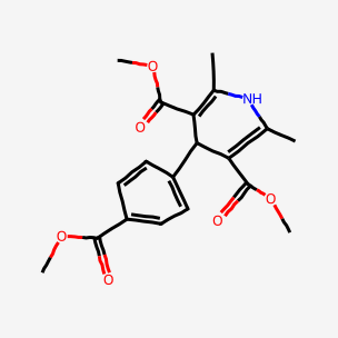 COC(=O)C1=C(C)NC(C)=C(C(=O)OC)C1c1ccc(C(=O)OC)cc1